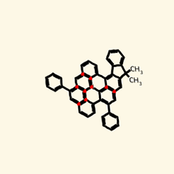 CC1(C)c2ccccc2-c2c(-c3ccccc3N(c3cccc(-c4ccccc4)c3)c3cccc(-c4ccccc4)c3-c3ccccc3-c3ccccc3)cccc21